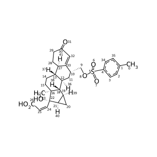 Cc1ccc(S(=O)(=O)OC[C@@H]2C[C@@H]3[C@H](CC[C@@]4(C)[C@H]3[C@H]3C[C@H]3[C@@]4(O)/C=C\C(=O)O)[C@H]3CCC(=O)C=C23)cc1